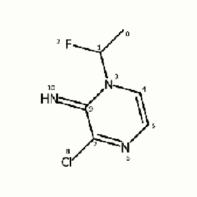 CC(F)n1ccnc(Cl)c1=N